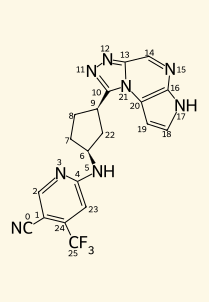 N#Cc1cnc(N[C@H]2CC[C@@H](c3nnc4cnc5[nH]ccc5n34)C2)cc1C(F)(F)F